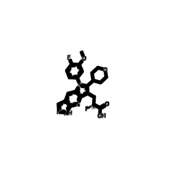 COc1cc(-n2c(C3CCOCC3)c(C[C@@H](F)C(=O)O)c3nc4[nH]ncc4cc32)ccc1F